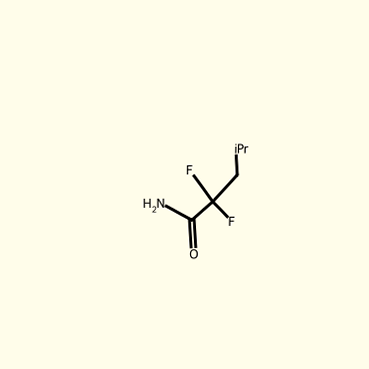 CC(C)CC(F)(F)C(N)=O